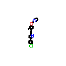 Cc1cc(OCCN2CCCC2)ccc1C#Cc1ccc(-c2ccc(Cl)cc2)cn1